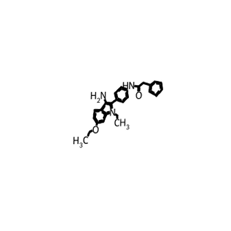 CCOc1ccc2c(N)c(-c3ccc(NC(=O)Cc4ccccc4)cc3)n(CC)c2c1